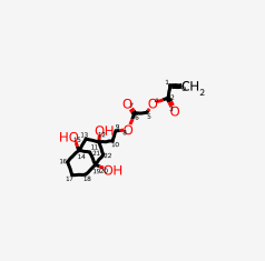 C=CC(=O)OCC(=O)OCCC1(O)CC2(O)CCCC(O)(C2)C1